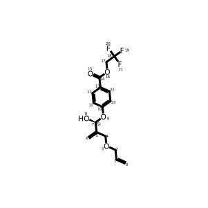 C=CCOCC(=C)[C@@H](O)Oc1ccc(C(=O)OCC(F)(F)F)cc1